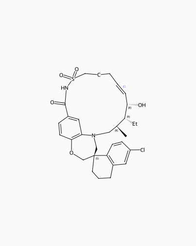 CC[C@H]1[C@@H](O)/C=C/CCCS(=O)(=O)NC(=O)c2ccc3c(c2)N(C[C@@H]1C)C[C@@]1(CCCc2cc(Cl)ccc21)CO3